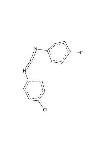 Clc1ccc(N=C=Nc2ccc(Cl)cc2)cc1